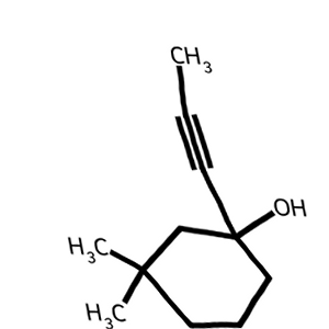 CC#CC1(O)CCCC(C)(C)C1